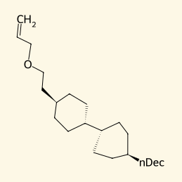 C=CCOCC[C@H]1CC[C@H]([C@H]2CC[C@H](CCCCCCCCCC)CC2)CC1